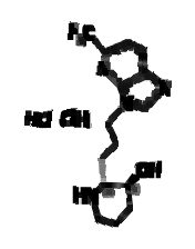 Cl.Cl.O[C@H]1CCCN[C@@H]1CCCn1cnc2ccc(C(F)(F)F)nc21